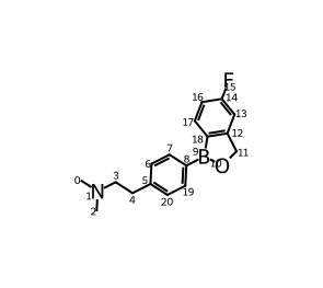 CN(C)CCc1ccc(B2OCc3cc(F)ccc32)cc1